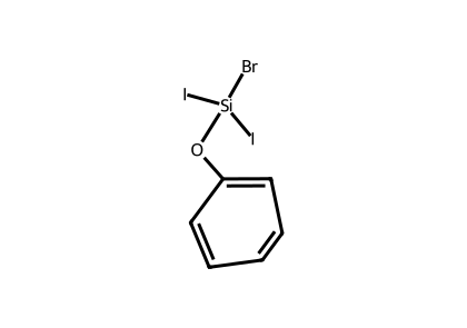 Br[Si](I)(I)Oc1ccccc1